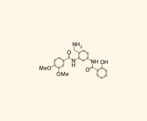 COc1ccc(C(=O)Nc2cc(NC(=O)c3ccccc3O)ccc2CN)cc1OC